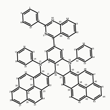 c1ccc(-c2nc(-c3cc4c5c(c3)N(c3ccccc3)c3c(cc6ccc7cccc8ccc3c6c78)B5c3cc5ccc6cccc7ccc(c3N4c3ccccc3)c5c67)c3ccccc3n2)cc1